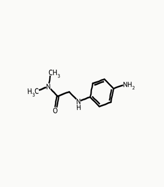 CN(C)C(=O)CNc1ccc(N)cc1